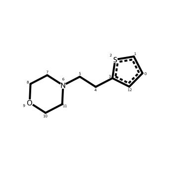 c1csc(CCN2CCOCC2)c1